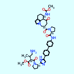 COC(=O)N[C@H]1CCc2ccn3c2C1C(=O)C[C@H](C(=O)N1CCC[C@H]1C(=O)Nc1ccc(-c2ccc(-c4cnc([C@@H]5CCCN5C(=O)[C@@H](C(=O)OC)C(C)CN)[nH]4)cc2)cc1)C3